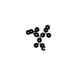 C/C=C\c1cc(N(c2ccccc2)c2ccc(N(C3=CCC(C)(N(c4ccccc4)c4ccc5ccccc5c4)C=C3)c3ccc(N(c4ccccc4)c4ccc5ccccc5c4)cc3)cc2)ccc1C